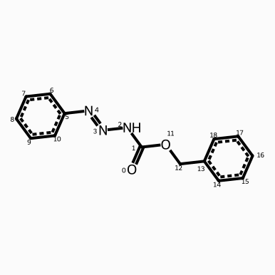 O=C(NN=Nc1ccccc1)OCc1ccccc1